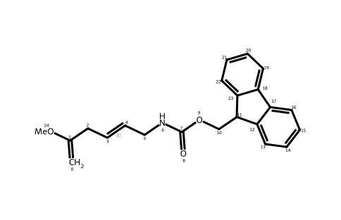 C=C(C/C=C/CNC(=O)OCC1c2ccccc2-c2ccccc21)OC